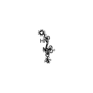 COC(=O)c1c(C#CCNC(=O)CCc2ccccc2)ncn1COCCS(C)(C)C